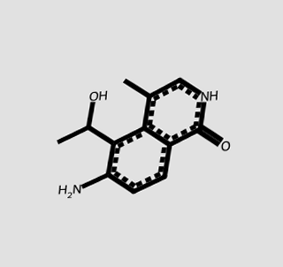 Cc1c[nH]c(=O)c2ccc(N)c(C(C)O)c12